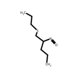 CCCSCC(CCC)N=O